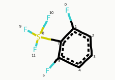 Fc1cccc(F)c1S(F)(F)F